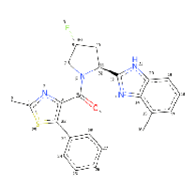 Cc1nc(C(=O)N2C[C@H](F)C[C@H]2c2nc3c(C)cccc3[nH]2)c(-c2ccccc2)s1